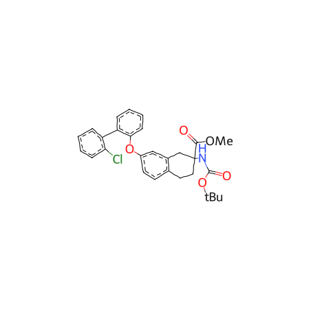 COC(=O)C1(NC(=O)OC(C)(C)C)CCc2ccc(Oc3ccccc3-c3ccccc3Cl)cc2C1